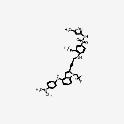 COc1cc(S(=O)(=O)Nc2cc(C)on2)ccc1NCC#Cc1cc2c(Nc3ccc(N(C)C)cc3)cccc2n1CC(F)(F)F